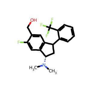 CN(C)[C@H]1CC(c2ccccc2C(F)(F)F)c2cc(CO)c(F)cc21